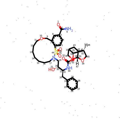 NC(=O)c1ccc2c(c1)COCCCCCCCN(C[C@@H](O)[C@H](Cc1ccccc1)NC(=O)O[C@H]1C3CO[C@H]4OC[C@@H]1C4C3)S2(=O)=O